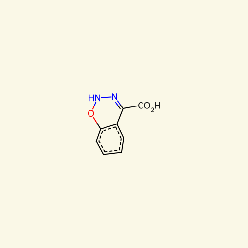 O=C(O)C1=NNOc2ccccc21